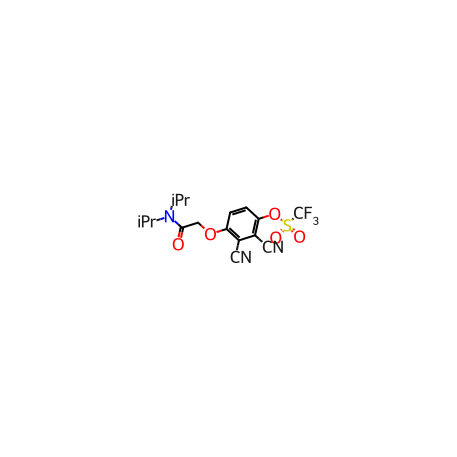 CC(C)N(C(=O)COc1ccc(OS(=O)(=O)C(F)(F)F)c(C#N)c1C#N)C(C)C